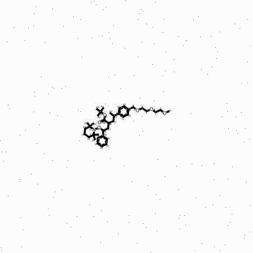 COCCOCCOCc1ccc(C(C)CC(CC(ON2C(C)(C)CCCC2(C)C)c2ccccc2)C(=O)OC(C)(C)C)cc1